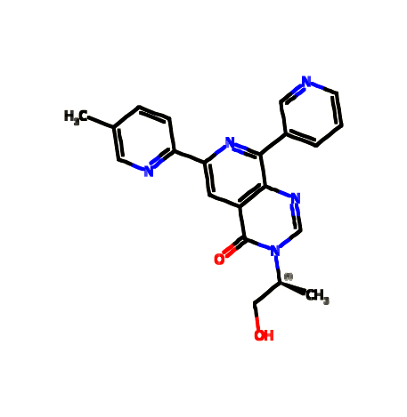 Cc1ccc(-c2cc3c(=O)n([C@@H](C)CO)cnc3c(-c3cccnc3)n2)nc1